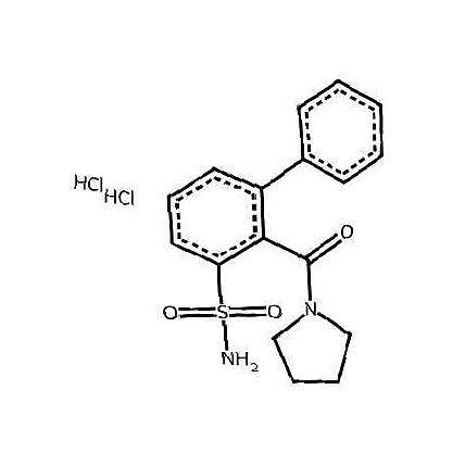 Cl.Cl.NS(=O)(=O)c1cccc(-c2ccccc2)c1C(=O)N1CCCC1